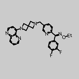 CCON=C(c1ccc(F)c(F)c1)c1ccc(CN2CC3(C2)CN(c2ccnc4cccnc24)C3)cn1